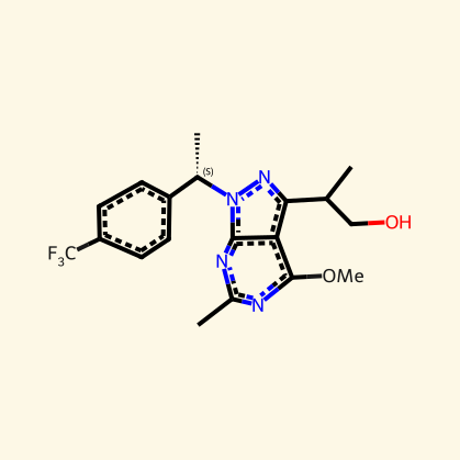 COc1nc(C)nc2c1c(C(C)CO)nn2[C@@H](C)c1ccc(C(F)(F)F)cc1